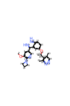 COc1cc(C(=N)c2cc(O[C@H](C)c3c(C)cnnc3C)ccc2N)cnc1N1CCC1